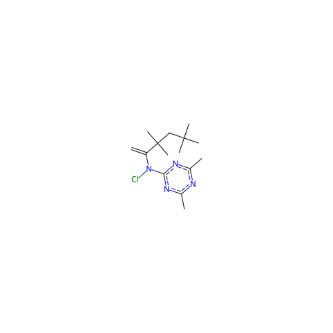 C=C(N(Cl)c1nc(C)nc(C)n1)C(C)(C)CC(C)(C)C